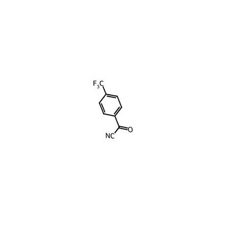 N#CC(=O)c1ccc(C(F)(F)F)cc1